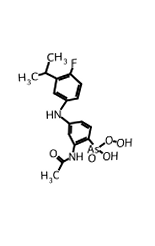 CC(=O)Nc1cc(Nc2ccc(F)c(C(C)C)c2)ccc1[As](=O)(O)OO